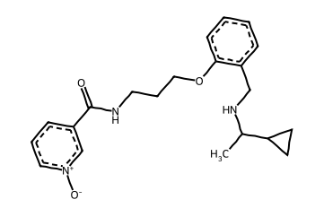 CC(NCc1ccccc1OCCCNC(=O)c1ccc[n+]([O-])c1)C1CC1